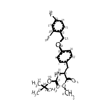 COC(=O)C(Cc1ccc(OCc2ccc(F)cc2F)cc1)NC(=O)OC(C)(C)C